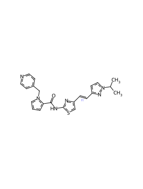 CC(C)n1ccc(/C=C/c2csc(NC(=O)c3cccn3Cc3ccncc3)n2)n1